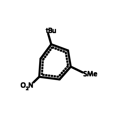 CSc1cc([N+](=O)[O-])cc(C(C)(C)C)c1